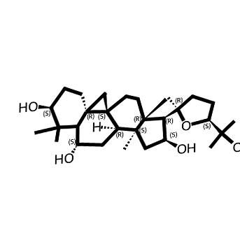 CC(C)(O)[C@@H]1CC[C@](C)([C@H]2[C@@H](O)C[C@@]3(C)[C@H]4C[C@H](O)C5C(C)(C)[C@@H](O)CC[C@@]56C[C@@]46CC[C@]23C)O1